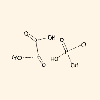 O=C(O)C(=O)O.O=P(O)(O)Cl